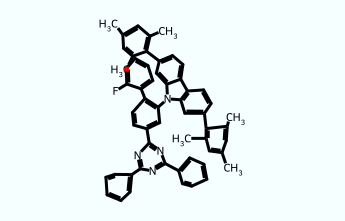 Cc1cc(C)c(-c2ccc3c4ccc(-c5c(C)cc(C)cc5C)cc4n(-c4cc(-c5nc(-c6ccccc6)nc(-c6ccccc6)n5)ccc4-c4ccccc4F)c3c2)c(C)c1